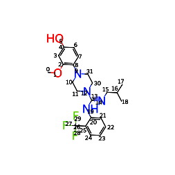 COc1cc(O)ccc1N1CCN(/C(=N\CC(C)C)Nc2ccccc2C(F)(F)F)CC1